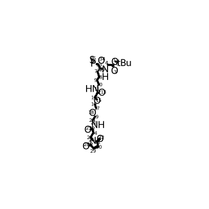 CC(C)(C)OC(=O)CN[C@@H](CCCCNC(=O)COCCOCCNC(=O)CCN1C(=O)C=CC1=O)C(=O)P=S